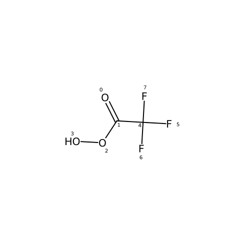 O=C(OO)C(F)(F)F